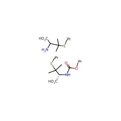 CC(C)OC(=O)N[C@H](C(=O)O)C(C)(C)SC(C)C.CC(C)SC(C)(C)C(N)C(=O)O